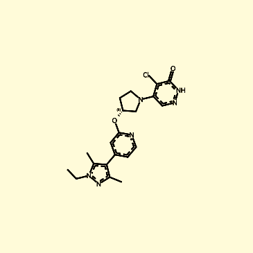 CCn1nc(C)c(-c2ccnc(O[C@@H]3CCN(c4cn[nH]c(=O)c4Cl)C3)c2)c1C